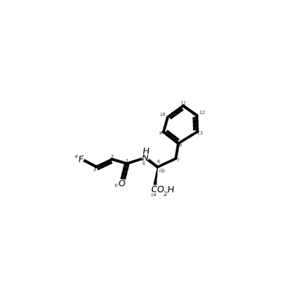 O=C(C=CF)N[C@@H](Cc1ccccc1)C(=O)O